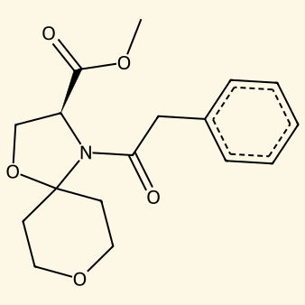 COC(=O)[C@@H]1COC2(CCOCC2)N1C(=O)Cc1ccccc1